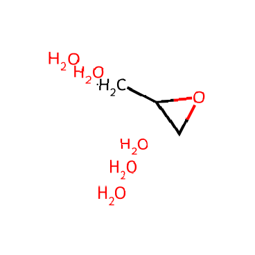 O.O.O.O.O.[CH2]C1CO1